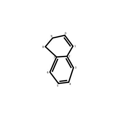 [C]1=Cc2cc[c]cc2CC1